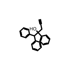 C#CCC(O)(c1ccccc1)C(c1ccccc1)c1ccccc1